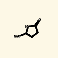 COC1C[CH]C(=O)N1